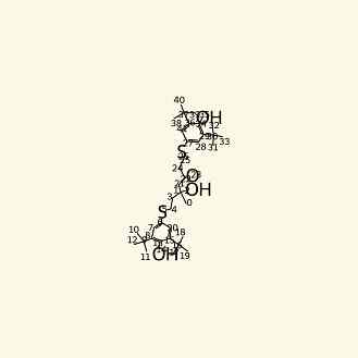 CC(O)(CCSc1cc(C(C)(C)C)c(O)c(C(C)(C)C)c1)CC(=O)CCSc1cc(C(C)(C)C)c(O)c(C(C)(C)C)c1